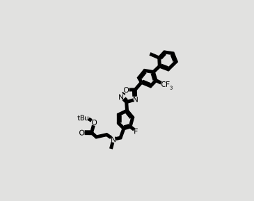 Cc1ccccc1-c1ccc(-c2nc(-c3ccc(CN(C)CCC(=O)OC(C)(C)C)c(F)c3)no2)cc1C(F)(F)F